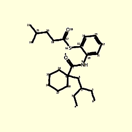 CCC(CC)CC1(C(=O)Nc2ccccc2SC(=O)CCC(C)C)CCCCC1